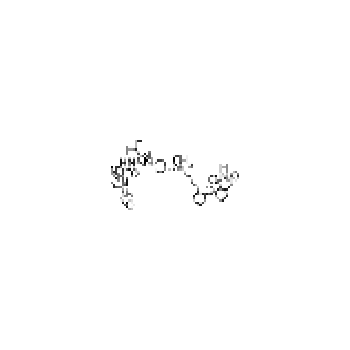 CN(CCCCCc1ccccc1Oc1cccc2c1C(=O)NC(=O)C2)C[C@H]1CC[C@H](n2cc(NC(=O)c3cnn4ccc(N5CCOCC5)nc34)c(C(F)F)n2)CC1